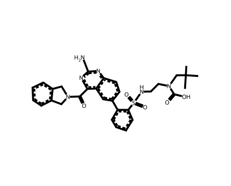 CC(C)(C)CN(CCNS(=O)(=O)c1ccccc1-c1ccc2nc(N)nc(C(=O)N3Cc4ccccc4C3)c2c1)C(=O)O